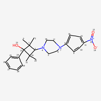 CC1(C)C(N2CCN(c3ccc([N+](=O)[O-])cc3)CC2)C(C)(C)C1(O)c1ccccc1